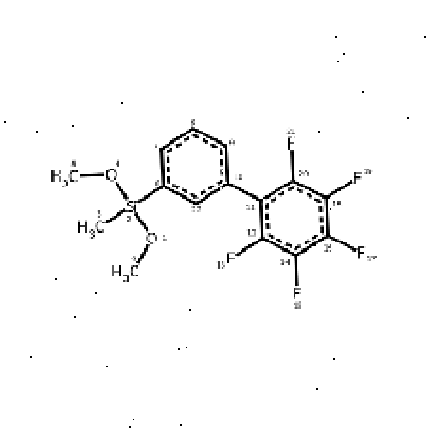 CO[Si](C)(OC)c1cccc(-c2c(F)c(F)c(F)c(F)c2F)c1